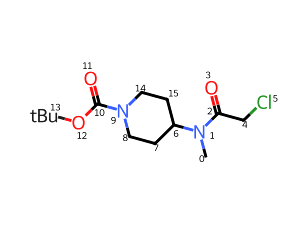 CN(C(=O)CCl)C1CCN(C(=O)OC(C)(C)C)CC1